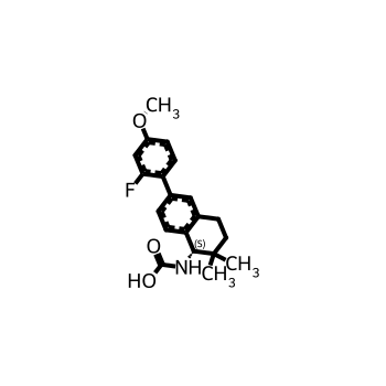 COc1ccc(-c2ccc3c(c2)CCC(C)(C)[C@@H]3NC(=O)O)c(F)c1